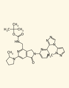 CC1CCCN1c1cc2c(c(CNC(=O)OC(C)(C)C)n1)CN(c1cccc(-c3nncn3-c3ccnn3C)n1)C2=O